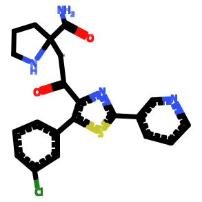 NC(=O)C1([CH]C(=O)c2nc(-c3cccnc3)sc2-c2cccc(Cl)c2)CCCN1